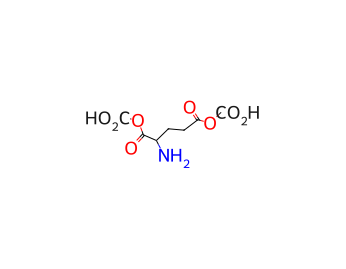 NC(CCC(=O)OC(=O)O)C(=O)OC(=O)O